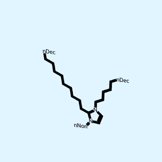 CCCCCCCCCCCCCCCCCCCC1N(CCCCCCCCC)C=CN1CCCCCCCCCCCCCCC